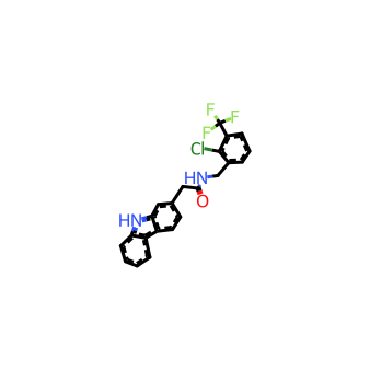 O=C(Cc1ccc2c(c1)[nH]c1ccccc12)NCc1cccc(C(F)(F)F)c1Cl